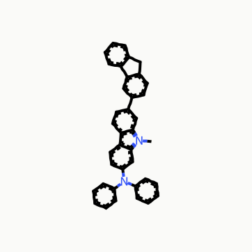 Cn1c2cc(-c3ccc4c(c3)-c3ccccc3C4)ccc2c2ccc(N(c3ccccc3)c3ccccc3)cc21